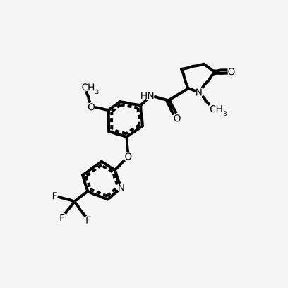 COc1cc(NC(=O)C2CCC(=O)N2C)cc(Oc2ccc(C(F)(F)F)cn2)c1